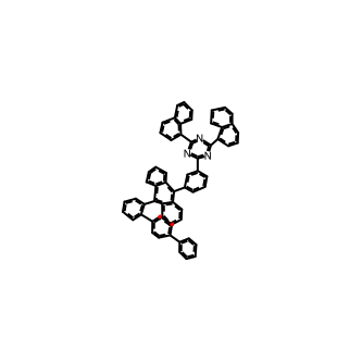 c1ccc(-c2ccc(-c3ccccc3-c3c4ccccc4c(-c4cccc(-c5nc(-c6cccc7ccccc67)nc(-c6cccc7ccccc67)n5)c4)c4ccccc34)cc2)cc1